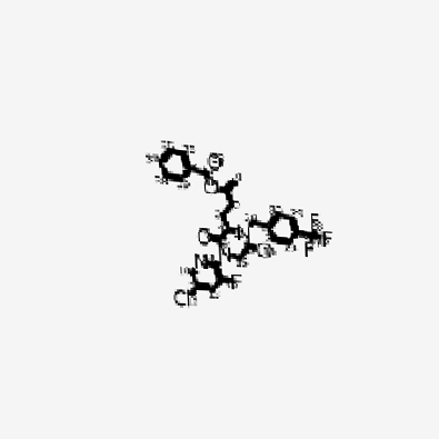 C=C(CCC1C(=O)N(c2ncc(Cl)cc2F)CC(=O)N1Cc1ccc(C(F)(F)F)cc1)OC(=O)c1ccccc1